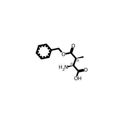 C[C@H](C(=O)OCc1ccccc1)[C@H](N)C(=O)O